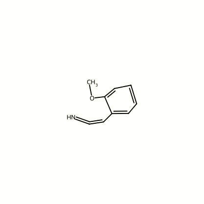 COc1ccccc1C=C=N